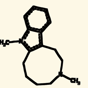 CN1CCCCc2c(c3ccccc3n2C)CC1